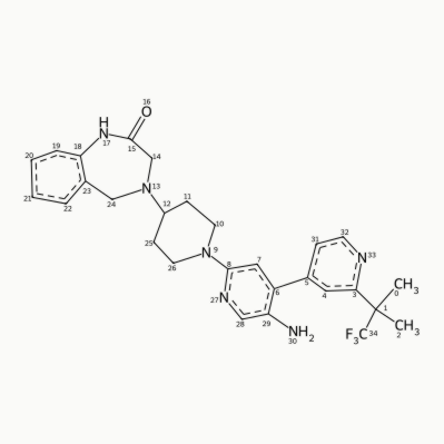 CC(C)(c1cc(-c2cc(N3CCC(N4CC(=O)Nc5ccccc5C4)CC3)ncc2N)ccn1)C(F)(F)F